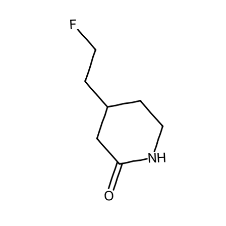 O=C1CC(CCF)CCN1